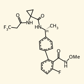 CONC(=O)c1c(F)cccc1-c1ccc([C@@H](C)NC(=O)C2(NC(=O)CC(F)(F)F)CC2)cc1